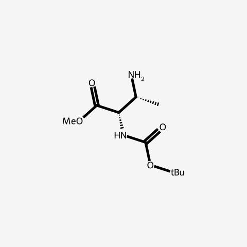 COC(=O)[C@@H](NC(=O)OC(C)(C)C)[C@@H](C)N